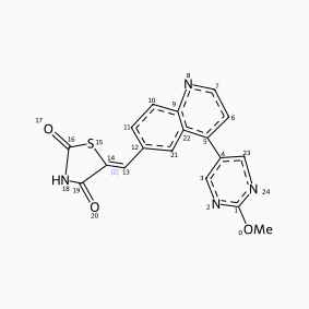 COc1ncc(-c2ccnc3ccc(/C=C4\SC(=O)NC4=O)cc23)cn1